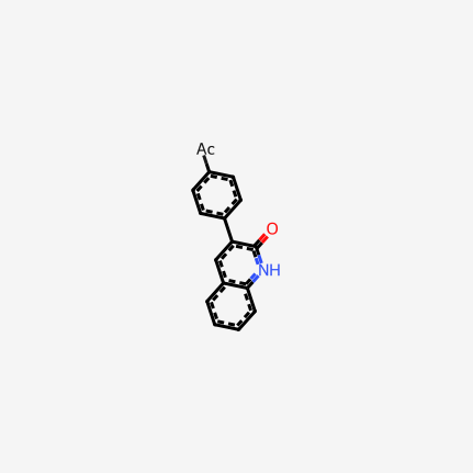 CC(=O)c1ccc(-c2cc3ccccc3[nH]c2=O)cc1